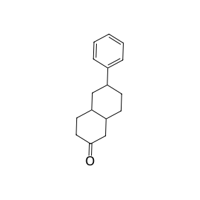 O=C1CCC2CC(c3ccccc3)CCC2C1